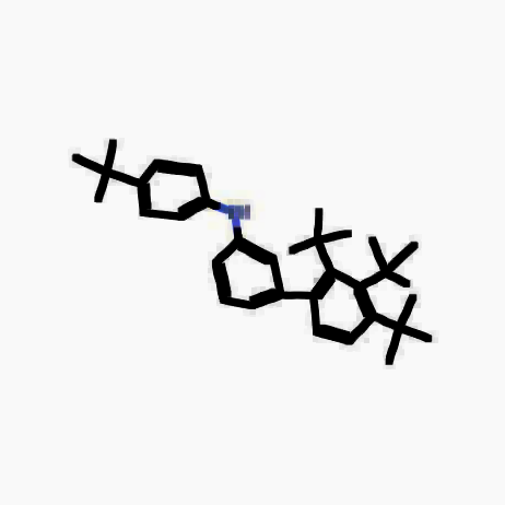 CC(C)(C)c1ccc(Nc2cccc(-c3ccc(C(C)(C)C)c(C(C)(C)C)c3C(C)(C)C)c2)cc1